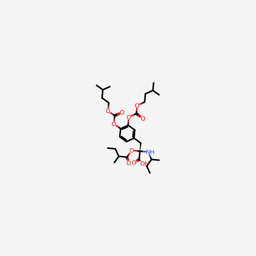 CCC(C)N[C@@](Cc1ccc(OC(=O)OCCC(C)C)c(OC(=O)OCCC(C)C)c1)(OC(=O)C(C)CC)C(=O)O